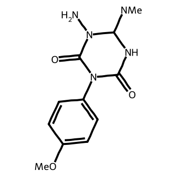 CNC1NC(=O)N(c2ccc(OC)cc2)C(=O)N1N